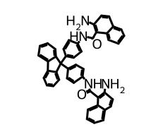 Nc1ccc2ccccc2c1C(=O)Nc1ccc(C2(c3ccc(NC(=O)c4c(N)ccc5ccccc45)cc3)c3ccccc3-c3ccccc32)cc1